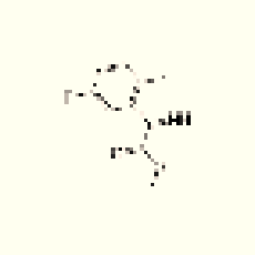 COC(=O)C(=N)c1cc(F)ccc1C